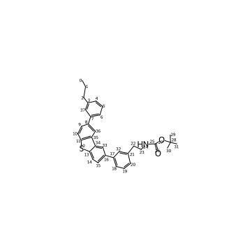 CCCc1cccc(-c2ccc3sc4ccc(-c5cccc(CCNC(=O)OC(C)(C)C)c5)cc4c3c2)c1